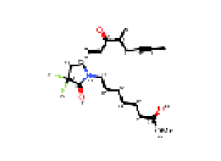 CC#CCC(C)C(=O)C=C[C@H]1CC(F)(F)C(=O)N1CCCCCCC(=O)OC